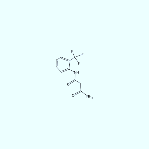 NC(=O)CC(=S)Nc1ccccc1C(F)(F)F